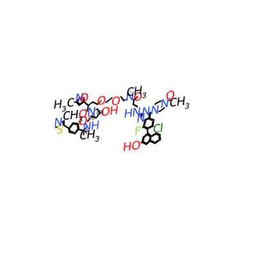 CC(=O)N1CCN(c2nc(NCCC(=O)N(C)CCOCCOCCC(C(=O)N3C[C@H](O)C[C@H]3C(=O)N[C@@H](C)c3ccc(-c4scnc4C)cc3)c3cc(C)no3)nc3c(F)c(-c4cc(O)cc5ccccc45)c(Cl)cc23)CC1